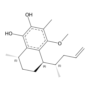 C=CC[C@H](C)[C@H]1CC[C@H](C)c2c(O)c(O)c(C)c(OC)c21